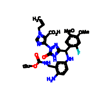 C=CCn1cnc(-n2nc(C(Nc3ccc(N)c(CNC(=O)OC(C)(C)C)c3)c3cc(OC)c(OC)cc3F)[nH]c2=O)c1C(=O)O